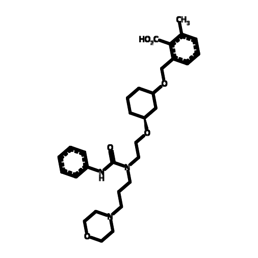 Cc1cccc(COC2CCC[C@H](OCCN(CCCN3CCOCC3)C(=O)Nc3ccccc3)C2)c1C(=O)O